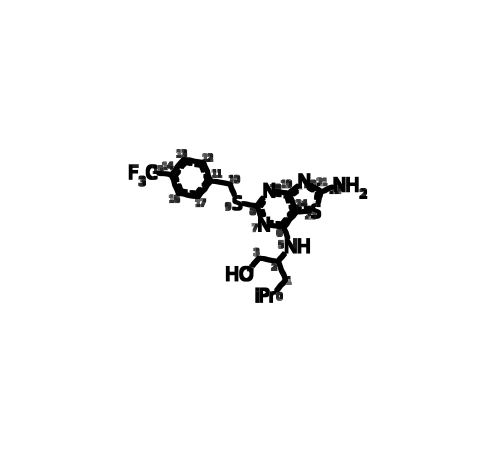 CC(C)CC(CO)Nc1nc(SCc2ccc(C(F)(F)F)cc2)nc2nc(N)sc12